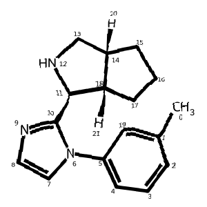 Cc1cccc(-n2ccnc2[C@H]2NC[C@@H]3CCC[C@@H]32)c1